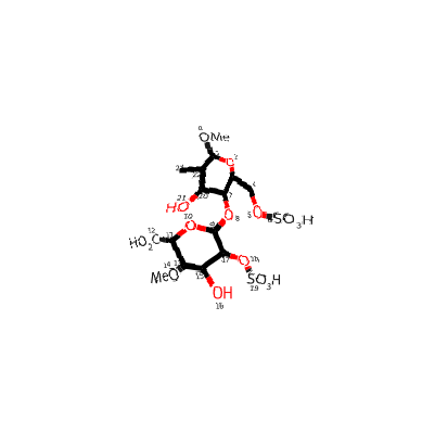 COC1OC(COS(=O)(=O)O)C(OC2OC(C(=O)O)C(OC)C(O)C2OS(=O)(=O)O)C(O)C1C